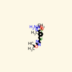 C#CC(C)Oc1cnc(/C(F)=C/c2ccc(F)c(C3(C)CS(=O)(=O)N(C)C(N)=N3)c2)cn1